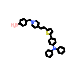 Bc1ccc(C[n+]2ccc(/C=C/c3ccc(-c4ccc(N(c5ccccc5)c5ccccc5)cc4)s3)cc2)cc1